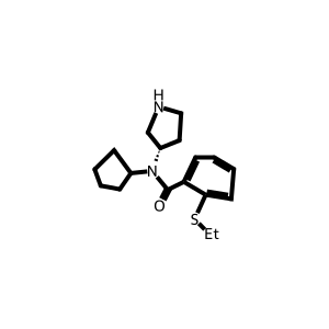 CCSc1ccccc1C(=O)N(C1CCCC1)[C@H]1CCNC1